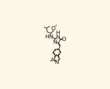 COCC(CC(C)C)NC1=N/C(=C\c2ccc3c(cnn3C)c2)C(=O)N1